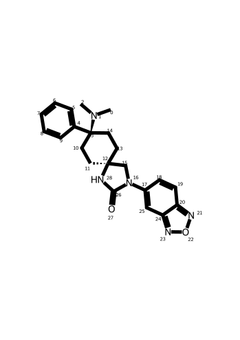 CN(C)[C@]1(c2ccccc2)CC[C@]2(CC1)CN(c1ccc3nonc3c1)C(=O)N2